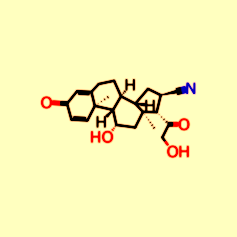 C[C@]12C[C@H](O)[C@H]3[C@@H](CCC4=CC(=O)C=C[C@@]43C)[C@@H]1C[C@@H](C#N)[C@@H]2C(=O)CO